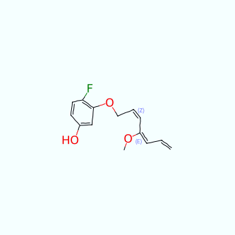 C=C/C=C(\C=C/COc1cc(O)ccc1F)OC